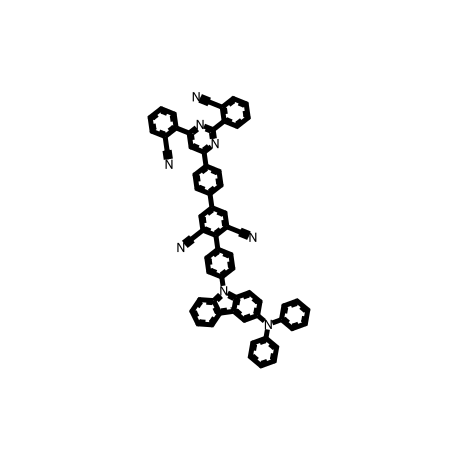 N#Cc1ccccc1-c1cc(-c2ccc(-c3cc(C#N)c(-c4ccc(-n5c6ccccc6c6cc(N(c7ccccc7)c7ccccc7)ccc65)cc4)c(C#N)c3)cc2)nc(-c2ccccc2C#N)n1